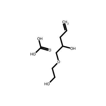 C=CCC(O)COCCO.O=C(O)O